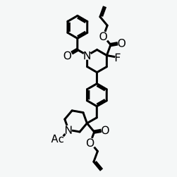 C=CCOC(=O)C1(F)CC(c2ccc(CC3(C(=O)OCC=C)CCCN(C(C)=O)C3)cc2)CN(C(=O)c2ccccc2)C1